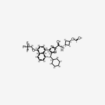 O=CO[C@H]1C[C@H](NC(=O)c2nc(CC3CCCCC3)c(-c3ccc(OCC(F)(F)F)c4ccccc34)s2)C1